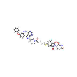 Nc1ncnc2c1c(-c1ccc(Oc3ccccc3)cc1)nn2[C@@H]1CCCN(C(=O)CCCCSc2cc(F)c3c(c2)C(=O)N(C2CCC(=O)NC2=O)C3=O)C1